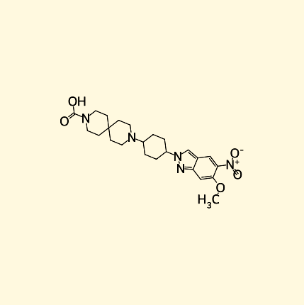 COc1cc2nn(C3CCC(N4CCC5(CCN(C(=O)O)CC5)CC4)CC3)cc2cc1[N+](=O)[O-]